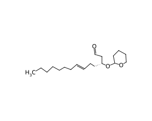 CCCCCCC/C=C/CC[C@H](CC=O)OC1CCCCO1